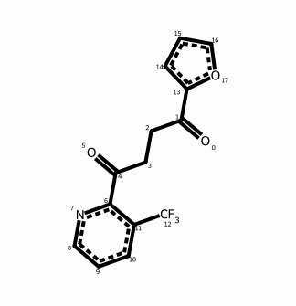 O=C(CCC(=O)c1ncccc1C(F)(F)F)c1ccco1